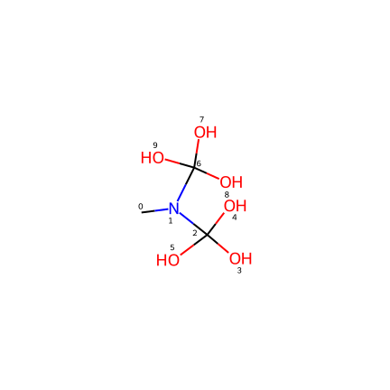 CN(C(O)(O)O)C(O)(O)O